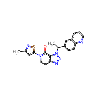 Cc1cc(-n2ccc3nnn(C(C)c4ccc5ncccc5c4)c3c2=O)sn1